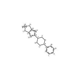 c1ccc(C2CCC(c3nc4c(s3)CNC4)CC2)cc1